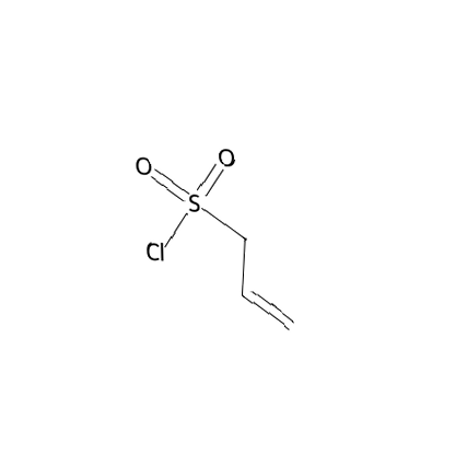 C=CCS(=O)(=O)Cl